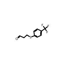 O=CCCSc1ccc(C(F)(F)F)cc1